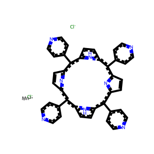 C1=Cc2nc1c(-c1ccncc1)c1ccc([nH]1)c(-c1ccncc1)c1nc(c(-c3ccncc3)c3ccc([nH]3)c2-c2ccncc2)C=C1.[Cl-].[Cl-].[Mn+2]